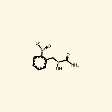 NC(=O)N(O)Cc1ccccc1[N+](=O)[O-]